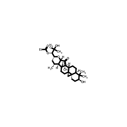 CCC(=O)O[C@@H]([C@H]1C[C@@H](C)[C@H]2[C@H](O1)C(=O)[C@@]1(C)[C@@H]3CC[C@H]4C(C)(C)[C@@H](O)CC[C@@]45C[C@@]35CC[C@]21C)C(C)(C)O